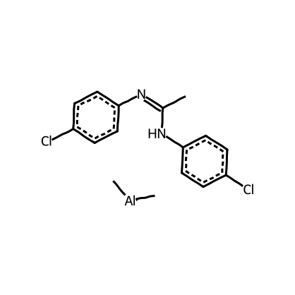 CC(=Nc1ccc(Cl)cc1)Nc1ccc(Cl)cc1.[CH3][Al][CH3]